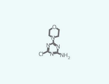 Nc1nc(Cl)nc(N2CCOCC2)n1